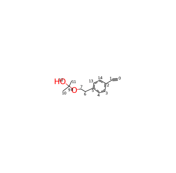 C#Cc1ccc(CCOC(C)(C)O)cc1